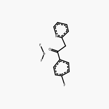 F[B]F.O=C(Cc1ccccn1)c1ccc(F)cc1